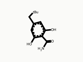 CC(C)(C)Cc1cc(O)c(C(N)=O)c(O)c1